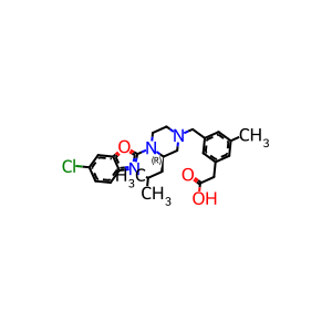 Cc1cc(CC(=O)O)cc(CN2CCN(c3nc4ccc(Cl)cc4o3)[C@H](CC(C)C)C2)c1